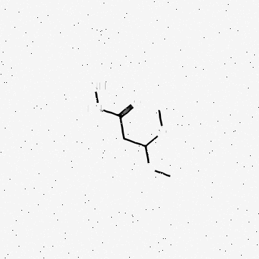 COC(CC(=O)NN)OC